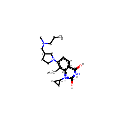 COc1c(N2CCC(CN(C)CCC#N)C2)ccc2c(=O)[nH]c(=O)n(C3CC3)c12